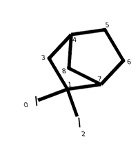 IC1(I)CC2CCC1C2